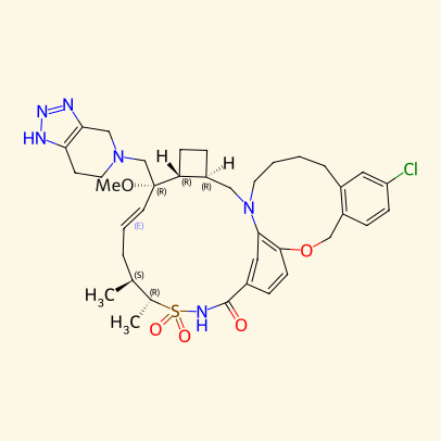 CO[C@@]1(CN2CCc3[nH]nnc3C2)/C=C/C[C@H](C)[C@@H](C)S(=O)(=O)NC(=O)c2ccc3c(c2)N(CCCCc2cc(Cl)ccc2CO3)C[C@@H]2CC[C@H]21